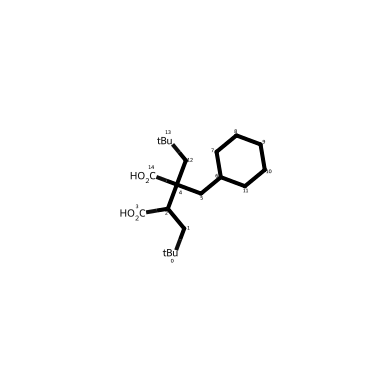 CC(C)(C)CC(C(=O)O)C(CC1CCCCC1)(CC(C)(C)C)C(=O)O